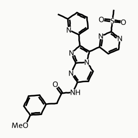 COc1cccc(CC(=O)Nc2ccn3c(-c4ccnc(S(C)(=O)=O)n4)c(-c4cccc(C)n4)nc3n2)c1